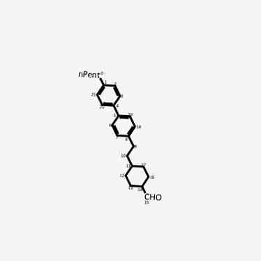 CCCCCc1ccc(-c2ccc(CCC3CCC(C=O)CC3)cc2)cc1